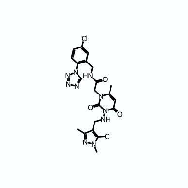 Cc1nn(C)c(Cl)c1CNn1c(=O)cc(C)n(CC(=O)NCc2cc(Cl)ccc2-n2cnnn2)c1=O